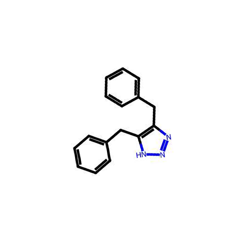 c1ccc(Cc2nn[nH]c2Cc2ccccc2)cc1